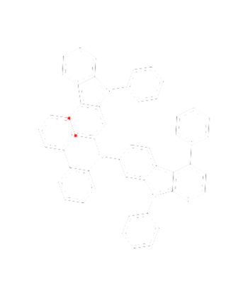 c1ccc(-c2ccccc2N(c2ccc3c4ccccc4n(-c4ccccc4)c3c2)c2ccc3c4c(-c5ccccc5)cccc4n(-c4ccccc4)c3c2)cc1